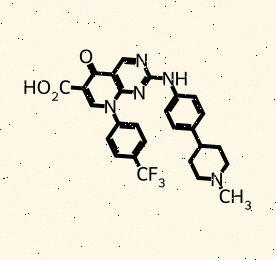 CN1CCC(c2ccc(Nc3ncc4c(=O)c(C(=O)O)cn(-c5ccc(C(F)(F)F)cc5)c4n3)cc2)CC1